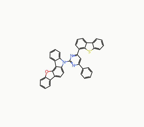 c1ccc(-c2cc(-c3cccc4c3sc3ccccc34)nc(-n3c4ccccc4c4c5oc6ccccc6c5ccc43)n2)cc1